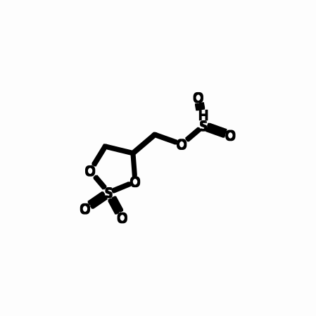 O=[SH](=O)OCC1COS(=O)(=O)O1